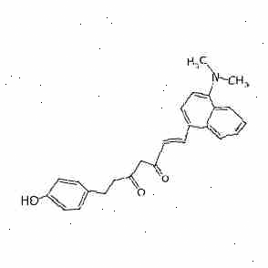 CN(C)c1ccc(C=CC(=O)CC(=O)CCc2ccc(O)cc2)c2ccccc12